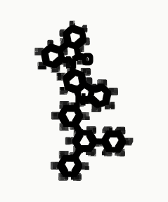 O=c1c2ccccc2c2ccccc2n1-c1ccc2c(c1)c1ccccc1n2-c1cccc(-c2cc(-c3ccccc3)cc(-c3ccccc3)c2)c1